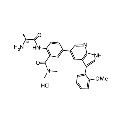 COc1ccccc1-c1c[nH]c2ncc(-c3ccc(NC(=O)[C@H](C)N)c(C(=O)N(C)C)c3)cc12.Cl